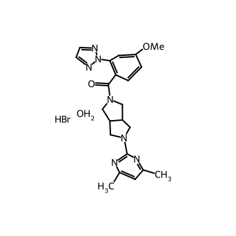 Br.COc1ccc(C(=O)N2CC3CN(c4nc(C)cc(C)n4)CC3C2)c(-n2nccn2)c1.O